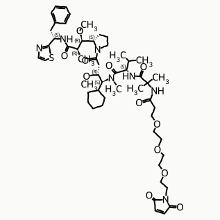 CO[C@H]([C@@H](C)C(=O)N[C@@H](Cc1ccccc1)c1nccs1)[C@@H]1CCCN1C(=O)C[C@@H](OC)[C@H](C1CCCCC1)N(C)C(=O)[C@@H](NC(=O)C(C)(C)NC(=O)CCOCCOCCOCCN1C(=O)C=CC1=O)C(C)C